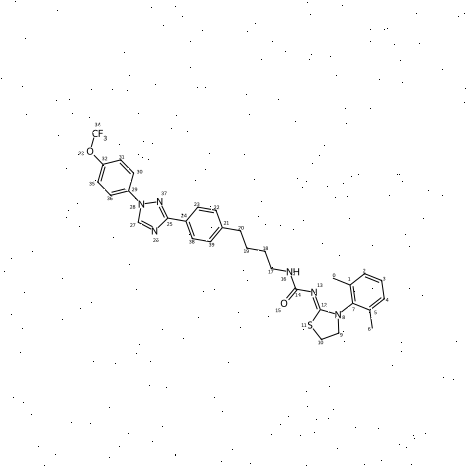 Cc1cccc(C)c1N1CCS/C1=N\C(=O)NCCCCc1ccc(-c2ncn(-c3ccc(OC(F)(F)F)cc3)n2)cc1